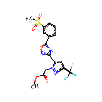 COC(=O)Cn1nc(C(F)(F)F)cc1-c1noc(-c2cccc(S(C)(=O)=O)c2)n1